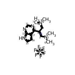 CN(C)/C=C(\C=[N+](C)C)c1ncnc2[nH]ccc12.F[P-](F)(F)(F)(F)F